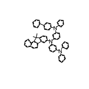 CC1(C)c2ccc(N(c3cccc(N(c4ccccc4)c4ccccc4)c3)c3cccc(N(c4ccccc4)c4ccc(-c5ccccc5)cc4)c3)cc2-c2ccc3ccccc3c21